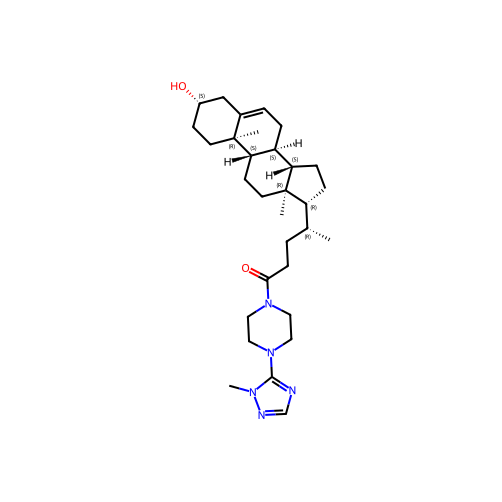 C[C@H](CCC(=O)N1CCN(c2ncnn2C)CC1)[C@H]1CC[C@H]2[C@@H]3CC=C4C[C@@H](O)CC[C@]4(C)[C@H]3CC[C@]12C